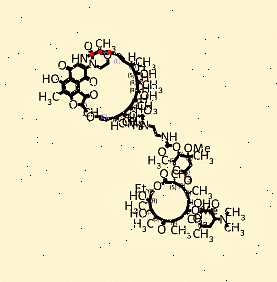 CC[C@@H]1OC(=O)[C@@H](C)[C@H](O[C@@H]2C[C@](C)(OC)[C@H](OC(=O)NCCNC(=O)O[C@H]3[C@H](C)[C@H](O)[C@H](C)[C@@H](O)[C@@H](C)/C=C/C=C(/C)C(=O)NC4=C(N5CCOCC5)C(=O)c5c(c(O)c(C)c6c5C(=O)[C@@](C)(O/C=C/[C@H](OC)[C@H]3C)O6)C4=O)[C@@H](C)O2)[C@@H](C)[C@H](O[C@H]2O[C@@H](C)CC(N(C)C)[C@@H]2O)C(C)(OC)C[C@H](C)C(=O)[C@@H](C)[C@H](O)[C@@]1(C)O